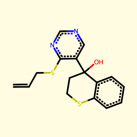 C=CCSc1ncncc1C1(O)CCSc2ccccc21